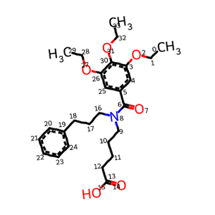 CCOc1cc(C(=O)N(CCCCC(=O)O)CCCc2ccccc2)cc(OCC)c1OCC